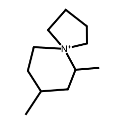 CC1CC[N+]2(CCCC2)C(C)C1